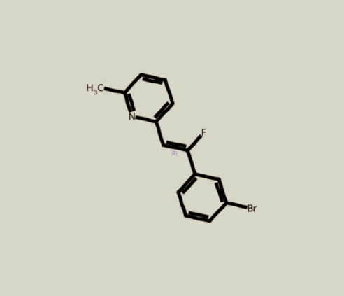 Cc1cccc(/C=C(\F)c2cccc(Br)c2)n1